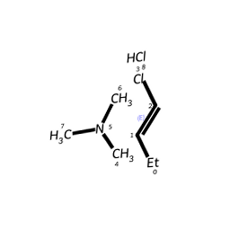 CC/C=C/Cl.CN(C)C.Cl